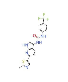 Cc1ncc(-c2ccc3c(NC(=O)Nc4ccc(C(F)(F)F)cc4)c[nH]c3n2)s1